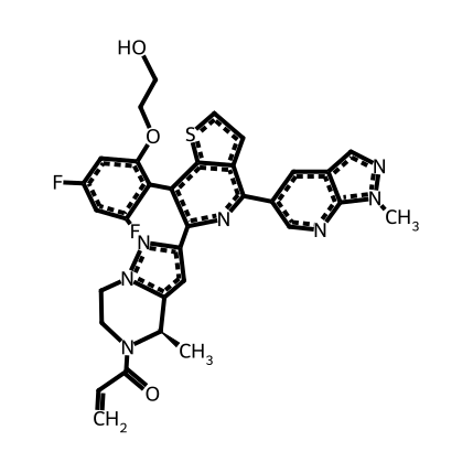 C=CC(=O)N1CCn2nc(-c3nc(-c4cnc5c(cnn5C)c4)c4ccsc4c3-c3c(F)cc(F)cc3OCCO)cc2[C@H]1C